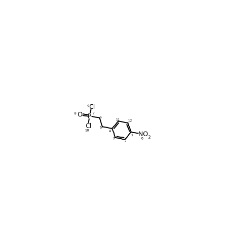 O=[N+]([O-])c1ccc(CCP(=O)(Cl)Cl)cc1